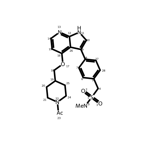 CNS(=O)(=O)Cc1ccc(-c2c[nH]c3nccc(OCC4CCN(C(C)=O)CC4)c23)cc1